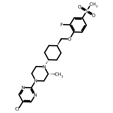 C[C@@H]1CN(c2ncc(Cl)cn2)CCN1[C@H]1CC[C@H](COc2ccc(S(C)(=O)=O)cc2F)CC1